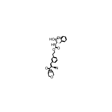 N#CC(=Cc1cccc(CCOC(=O)N[C@@H](Cc2ccccc2)B(O)O)c1)C(=O)N1C2CCC1COC2